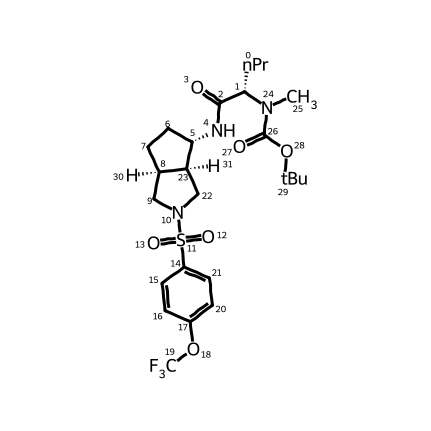 CCC[C@@H](C(=O)N[C@H]1CC[C@@H]2CN(S(=O)(=O)c3ccc(OC(F)(F)F)cc3)C[C@@H]21)N(C)C(=O)OC(C)(C)C